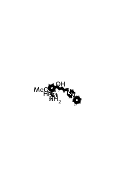 COc1ccc(C(O)CCCCN2CCN(c3ccccc3)CC2)cc1NC(N)=O